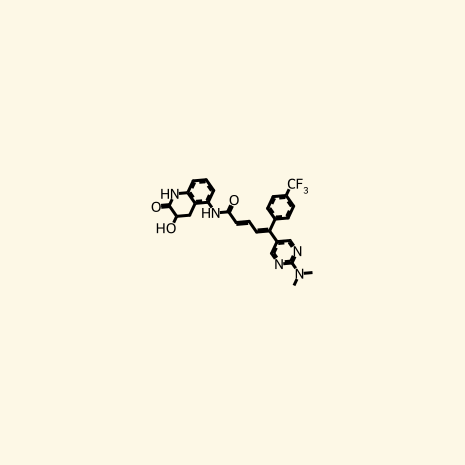 CN(C)c1ncc(C(=CC=CC(=O)Nc2cccc3c2CC(O)C(=O)N3)c2ccc(C(F)(F)F)cc2)cn1